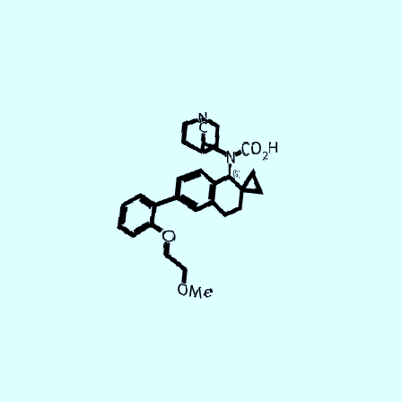 COCCOc1ccccc1-c1ccc2c(c1)CCC1(CC1)[C@@H]2N(C(=O)O)C1CN2CCC1CC2